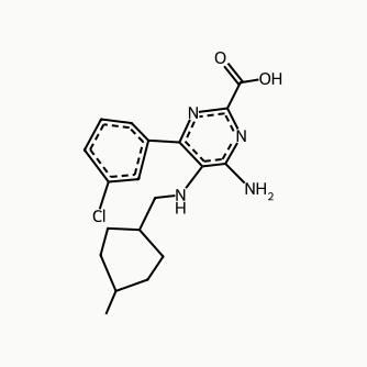 CC1CCC(CNc2c(N)nc(C(=O)O)nc2-c2cccc(Cl)c2)CC1